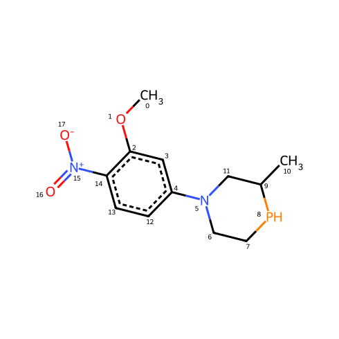 COc1cc(N2CCPC(C)C2)ccc1[N+](=O)[O-]